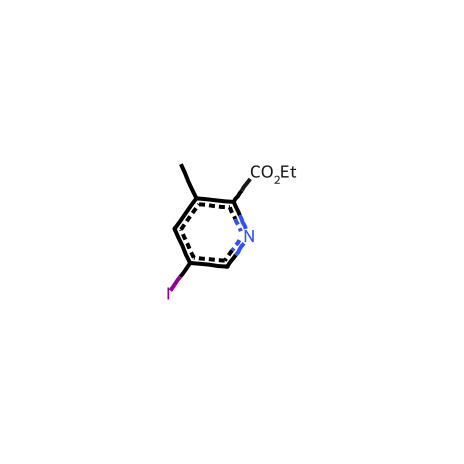 CCOC(=O)c1ncc(I)cc1C